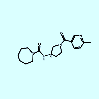 Cc1ccc(C(=O)N2CC[C@@H](NC(=O)N3CCCCCC3)C2)cn1